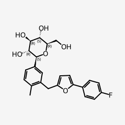 Cc1ccc([C@@H]2O[C@H](CO)[C@@H](O)[C@H](O)[C@H]2O)cc1Cc1ccc(-c2ccc(F)cc2)o1